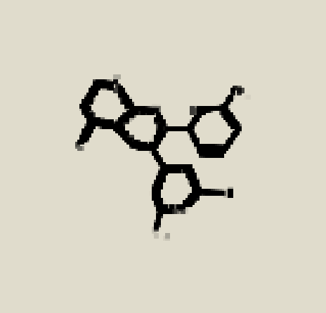 CC1=CC#CC(c2nc3[nH]ccc(=O)c3cc2-c2cc(C)nc(Cl)c2)N1